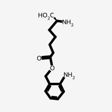 Nc1ccccc1COC(=O)CCCC[C@H](N)C(=O)O